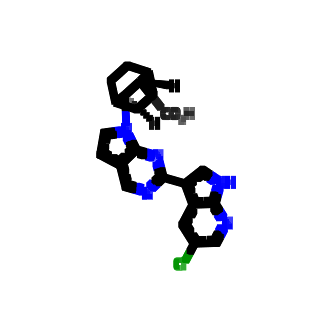 O=C(O)[C@H]1C2CCC(CC2)[C@@H]1n1ccc2cnc(-c3c[nH]c4ncc(Cl)cc34)nc21